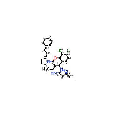 CC1=C(C(=O)N2CCCC2CCc2ccccc2)C(c2ccc(Cl)c(Cl)c2)n2nc(C(F)(F)F)cc2N1